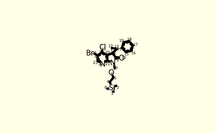 C[Si](C)(C)CCOCN1C(=O)[C@@]2(C[C@@H]2c2ccccc2)c2c1ncc(Br)c2Cl